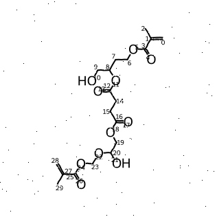 C=C(C)C(=O)OCCC(CO)OC(=O)CCC(=O)OCC(O)OCOC(=O)C(=C)C